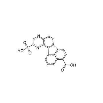 O=C(O)c1ccc2c3c(cccc13)-c1c-2ccc2ncc(S(=O)(=O)O)nc12